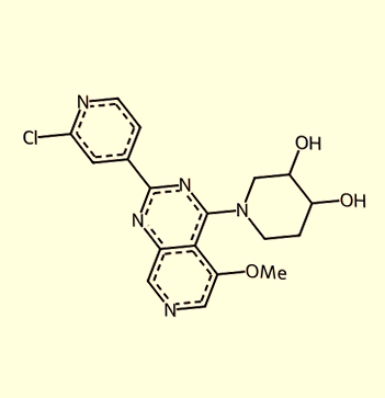 COc1cncc2nc(-c3ccnc(Cl)c3)nc(N3CCC(O)C(O)C3)c12